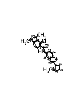 Cc1nn(C)c2ncc(C(=O)Nc3ccc4nc(C5CCCN5C)cn4c3)c(Cl)c12